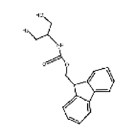 O=C(NC(CO)CS)OCC1c2ccccc2-c2ccccc21